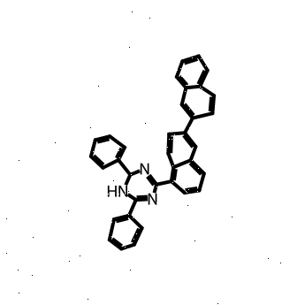 c1ccc(C2=NC(c3cccc4cc(-c5ccc6ccccc6c5)ccc34)=NC(c3ccccc3)N2)cc1